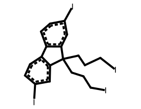 ICCCC1(CCCI)c2cc(I)ccc2-c2ccc(I)cc21